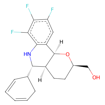 OC[C@H]1CC[C@@H]2[C@H](O1)c1cc(F)c(F)c(F)c1N[C@H]2C1C=CC=CC1